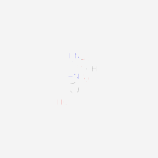 CC(OC(N)=O)C(=O)Nc1ccc(CO)c(I)c1